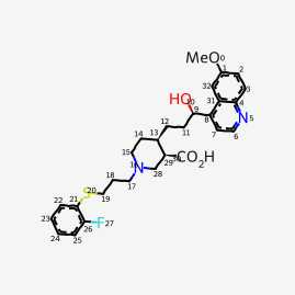 COc1ccc2nccc([C@H](O)CC[C@@H]3CCN(CCCSc4ccccc4F)C[C@@H]3C(=O)O)c2c1